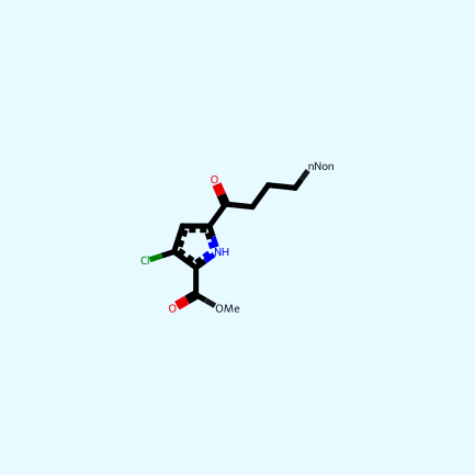 CCCCCCCCCCCCC(=O)c1cc(Cl)c(C(=O)OC)[nH]1